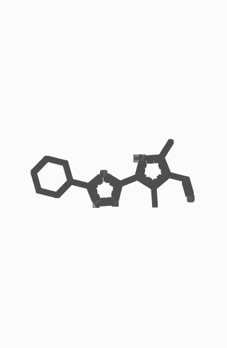 Cc1[nH]c(-c2nnc(C3CCCCC3)o2)c(C)c1C=O